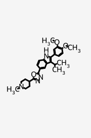 COc1ccc(-c2[nH]c3ccc(-c4nnc(C5CCN(C)CC5)o4)cc3c2C(C)C)cc1OC